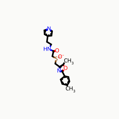 Cc1ccc(-c2nc(C[S+]([O-])CC(=O)NCCc3ccncc3)c(C)o2)cc1